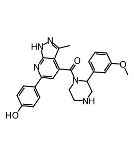 COc1cccc(C2CNCCN2C(=O)c2cc(-c3ccc(O)cc3)nc3[nH]nc(C)c23)c1